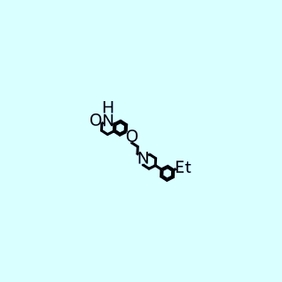 CCc1cccc(C2CCN(CCCOc3ccc4c(c3)CCC(=O)N4)CC2)c1